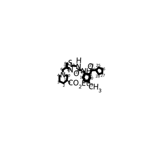 CCOC(=O)[C@H]1CCCN(Cc2csc(NC(=O)Nc3ccc(C)cc3C(=O)C3CCCC3)n2)C1